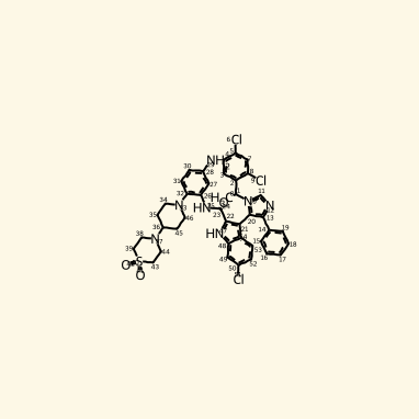 CC(c1ccc(Cl)cc1Cl)n1cnc(-c2ccccc2)c1-c1c(C(=O)Nc2cc(N)ccc2N2CCC(N3CCS(=O)(=O)CC3)CC2)[nH]c2cc(Cl)ccc12